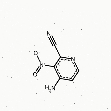 N#Cc1nccc(N)c1[N+](=O)[O-]